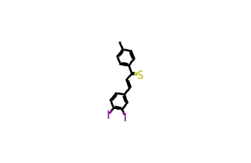 Cc1ccc(C(=S)C=Cc2ccc(I)c(I)c2)cc1